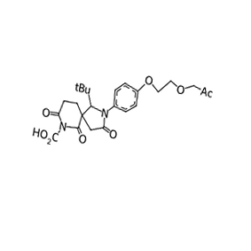 CC(=O)COCCOc1ccc(N2C(=O)CC3(CCC(=O)N(C(=O)O)C3=O)C2C(C)(C)C)cc1